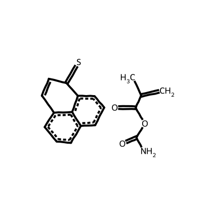 C=C(C)C(=O)OC(N)=O.S=C1C=Cc2cccc3cccc1c23